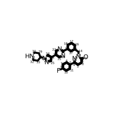 O=c1ccc(-c2ccc(F)cc2)nn1Cc1cccc(-c2ncc(-c3cnn(C4CCNCC4)c3)cn2)c1